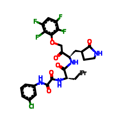 CC(C)C[C@H](NC(=O)C(=O)Nc1cccc(Cl)c1)C(=O)N[C@@H](C[C@@H]1CCNC1=O)C(=O)COc1c(F)c(F)cc(F)c1F